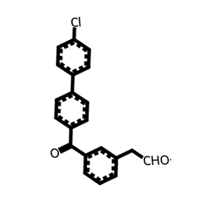 O=[C]Cc1cccc(C(=O)c2ccc(-c3ccc(Cl)cc3)cc2)c1